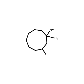 CCCC1(N)CCCCCCC(C)C1